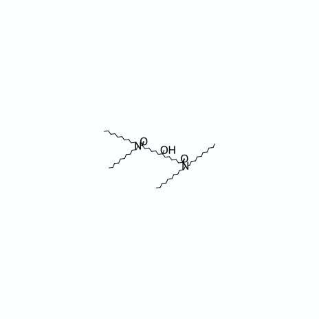 CCCCCCCCCCN(CCCCCCCCCC)C(=O)CCCCCC(O)CCCCCC(=O)N(CCCCCCCCCC)CCCCCCCCCC